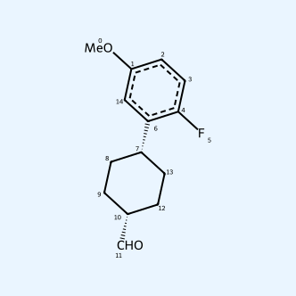 COc1ccc(F)c([C@H]2CC[C@@H](C=O)CC2)c1